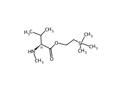 CN[C@H](C(=O)OCC[Si](C)(C)C)C(C)C